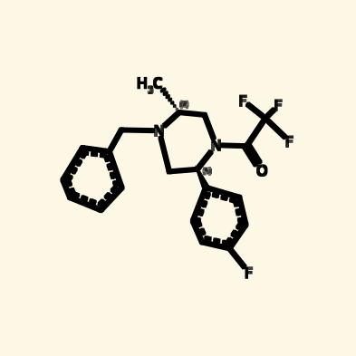 C[C@@H]1CN(C(=O)C(F)(F)F)[C@@H](c2ccc(F)cc2)CN1Cc1ccccc1